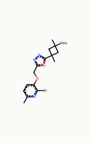 CCc1nc(C)ccc1OCc1nnc(C2(C)CC(C)(NC)C2)o1